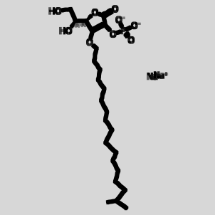 CC(C)CCCCCCCCCCCCCCCOC1=C(OP(=O)([O-])[O-])C(=O)O[C@@H]1[C@@H](O)CO.[Na+].[Na+]